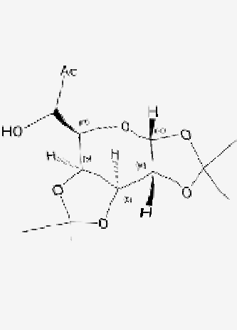 CC(=O)C(O)[C@H]1O[C@@H]2OC(C)(C)O[C@@H]2[C@H]2OC(C)(C)O[C@H]21